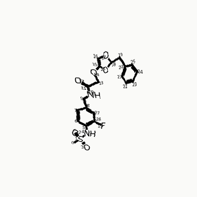 CS(=O)(=O)Nc1ccc(CNC(=O)COC2=COC(Cc3ccccc3)O2)cc1F